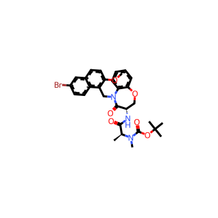 COc1ccc2cc(Br)ccc2c1CN1C(=O)[C@@H](NC(=O)[C@H](C)N(C)C(=O)OC(C)(C)C)COc2ccccc21